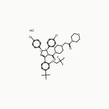 CC(C)(C)c1ccc(C2=N[C@@H](c3ccc(Cl)cc3)[C@@H](c3ccc(Cl)cc3)N2C(=O)N2CCN(CC(=O)N3CCOCC3)CC2)c(OCC(F)(F)F)c1.Cl